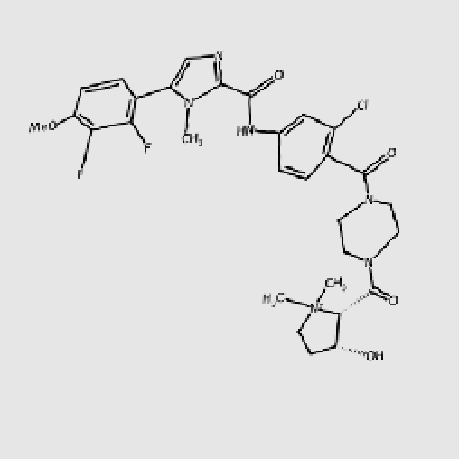 COc1ccc(-c2cnc(C(=O)Nc3ccc(C(=O)N4CCN(C(=O)[C@@H]5[C@H](O)CC[N+]5(C)C)CC4)c(Cl)c3)n2C)c(F)c1F